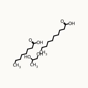 CC(O)CO.CCCCCCCC(=O)O.CCCCCCCCCC(=O)O